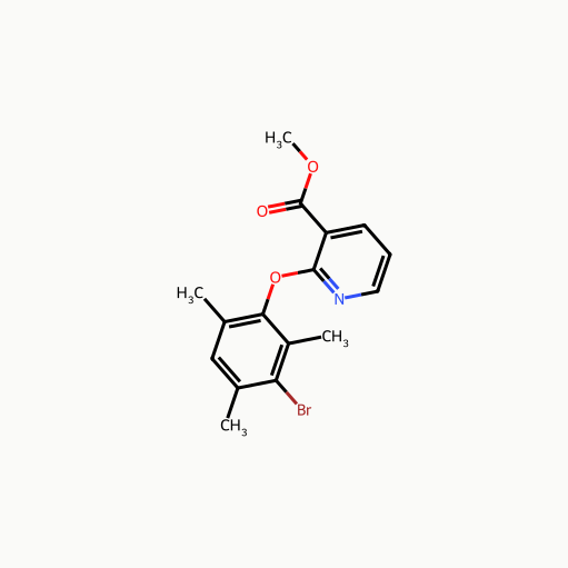 COC(=O)c1cccnc1Oc1c(C)cc(C)c(Br)c1C